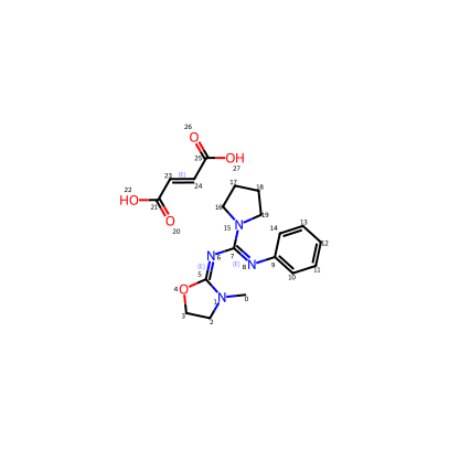 CN1CCO/C1=N/C(=N/c1ccccc1)N1CCCC1.O=C(O)/C=C/C(=O)O